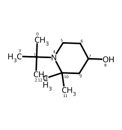 CC(C)(C)N1CCC(O)CC1(C)C